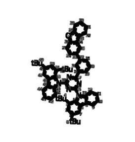 CC(C)(C)c1cc(C(C)(C)C)c2c(c1)c1ccccc1n2-c1nc(-c2cccc(-c3ccc4oc5ccccc5c4c3)c2)nc(-n2c3ccccc3c3cc(C(C)(C)C)cc(C(C)(C)C)c32)n1